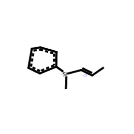 C/C=C/[Si](C)c1ccccc1